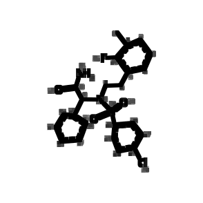 Cc1cccc(CCN(C(C(N)=O)c2ccccc2)S(=O)(=O)c2ccc(Cl)cc2)c1F